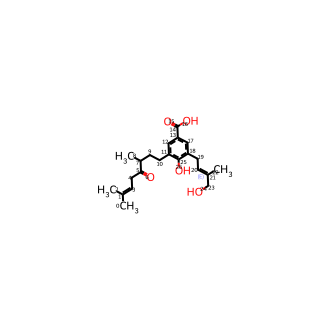 CC(C)=CCC(=O)C(C)CCc1cc(C(=O)O)cc(C/C=C(\C)CO)c1O